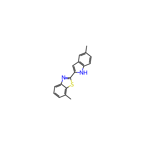 Cc1ccc2[nH]c(-c3nc4cccc(C)c4s3)cc2c1